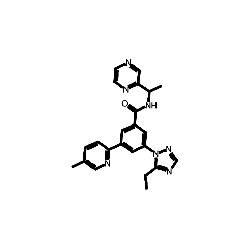 CCc1ncnn1-c1cc(C(=O)NC(C)c2cnccn2)cc(-c2ccc(C)cn2)c1